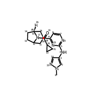 Cn1cc(Nc2nccc(N3CC4CC[C@H](C3)N4C(=O)C3CC3)n2)cn1